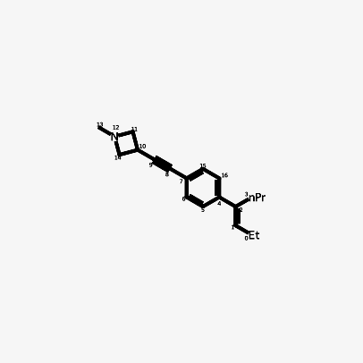 CC/C=C(\CCC)c1ccc(C#CC2CN(C)C2)cc1